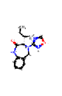 CCC(C)[C@H]1C(=O)Nc2ccccc2CN1c1ncon1